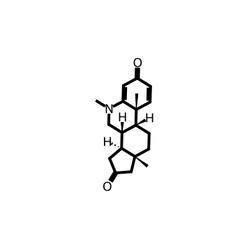 CN1C[C@@H]2[C@@H](CC[C@]3(C)CC(=O)C[C@@H]23)[C@@]2(C)C=CC(=O)C=C12